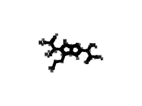 NC(=O)N(N)c1nc2[nH]c(N(N)C(N)=O)c(CCO)c2s1